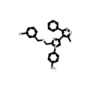 Cc1onc(-c2ccccc2)c1-c1cn(-c2ccc([N+](=O)[O-])cc2)c(COCc2cccc(Cl)c2)n1